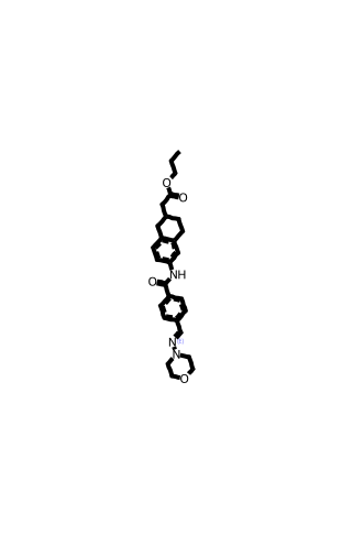 CCCOC(=O)CC1CCc2cc(NC(=O)c3ccc(/C=N/N4CCOCC4)cc3)ccc2C1